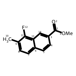 COC(=O)c1ccc2ccc(C)c(F)c2c1